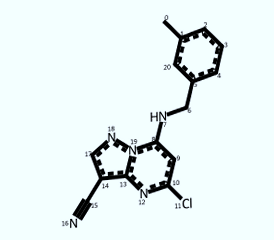 Cc1cccc(CNc2cc(Cl)nc3c(C#N)cnn23)c1